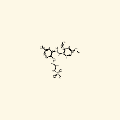 COc1ccc(CNc2cc(Cl)nnc2OCCCS(C)(=O)=O)c(OC)c1